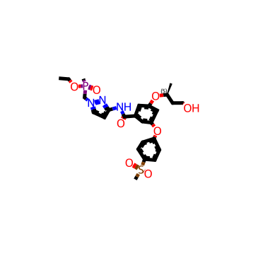 CCOP(C)(=O)Cn1ccc(NC(=O)c2cc(Oc3ccc(S(C)(=O)=O)cc3)cc(O[C@@H](C)CCO)c2)n1